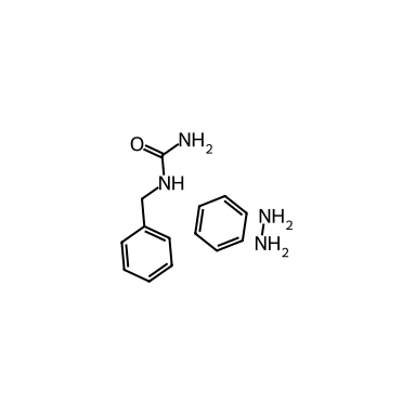 NC(=O)NCc1ccccc1.NN.c1ccccc1